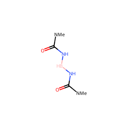 CNC(=O)NBNC(=O)NC